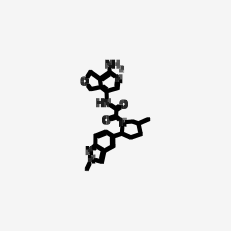 CC1CCC(c2ccc3nn(C)cc3c2)N(C(=O)C(=O)Nc2cnc(N)c3c2COC3)C1